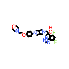 OC(CN1CC2CN(c3ccc(OCCN4CCOCC4)cc3)CC2C1)(Cn1cncn1)c1ccc(F)cc1F